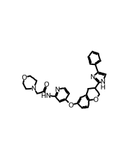 O=C(CN1CCOCC1)Nc1cc(Oc2ccc3c(c2)CC(c2nc(-c4ccccc4)c[nH]2)CO3)ccn1